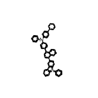 c1ccc(-c2ccc(N(c3ccccc3)c3ccc(-c4ccc(-c5ccc6c(c5)c5ccccc5n6-c5ccccc5)c5ccccc45)cc3)cc2)cc1